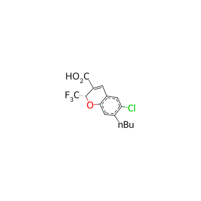 CCCCc1cc2c(cc1Cl)C=C(C(=O)O)[C@@H](C(F)(F)F)O2